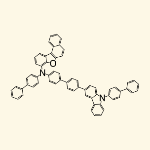 c1ccc(-c2ccc(N(c3ccc(-c4ccc(-c5ccc6c(c5)c5ccccc5n6-c5ccc(-c6ccccc6)cc5)cc4)cc3)c3cccc4c3oc3ccc5ccccc5c34)cc2)cc1